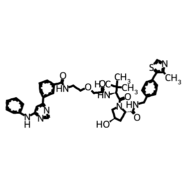 Cc1ncsc1-c1ccc(CNC(=O)[C@@H]2C[C@@H](O)CN2C(=O)[C@@H](NC(=O)COCCNC(=O)c2cccc(-c3cc(Nc4ccccc4)ncn3)c2)C(C)(C)C)cc1